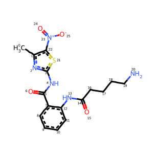 Cc1nc(NC(=O)c2ccccc2NC(=O)CCCCN)sc1[N+](=O)[O-]